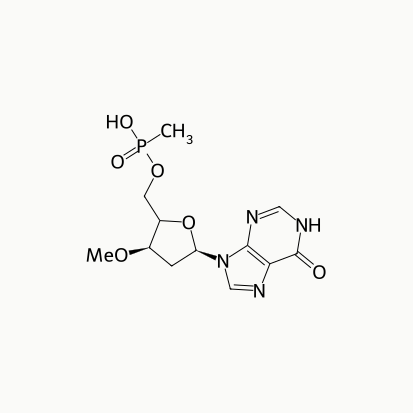 CO[C@@H]1C[C@H](n2cnc3c(=O)[nH]cnc32)OC1COP(C)(=O)O